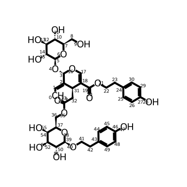 C/C=C1/[C@H](O[C@@H]2O[C@H](CO)[C@@H](O)[C@H](O)[C@H]2O)OC=C(C(=O)OCCc2ccc(O)cc2)[C@H]1CC(=O)OC[C@H]1O[C@@H](OCCc2ccc(O)cc2)[C@H](O)[C@@H](O)[C@H]1O